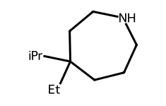 CCC1(C(C)C)CCCNCC1